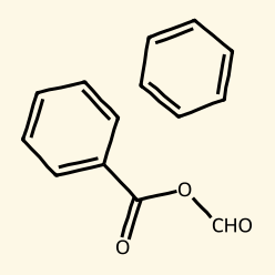 O=COC(=O)c1ccccc1.c1ccccc1